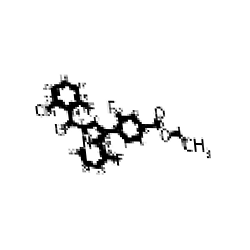 CCOC(=O)c1ccc(-c2cc(C(=O)c3c(F)cccc3Cl)n3cccc(F)c23)c(F)c1